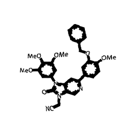 COc1ccc(-c2cc3c(cn2)n(CC#N)c(=O)n3-c2cc(OC)c(OC)c(OC)c2)cc1OCc1ccccc1